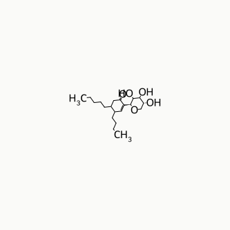 CCCCCC1CC(=O)C([C@@H]2OC[C@@H](O)C(O)[C@@H]2O)=CC1CCCC